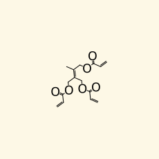 C=CC(=O)OCC(C)=C(COC(=O)C=C)COC(=O)C=C